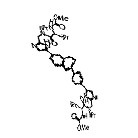 CCCN(Cc1ncc(-c2ccc(-c3ccc4cc(-c5cnc(CN(CCC)C(=O)[C@@H](NC(=O)OC)C(C)C)[nH]5)ccc4c3)cc2)[nH]1)C(=O)[C@@H](NC(=O)OC)C(C)C